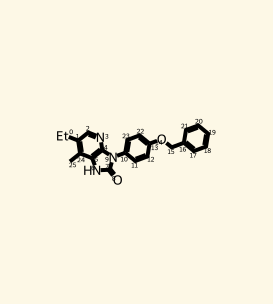 CCc1cnc2c([nH]c(=O)n2-c2ccc(OCc3ccccc3)cc2)c1C